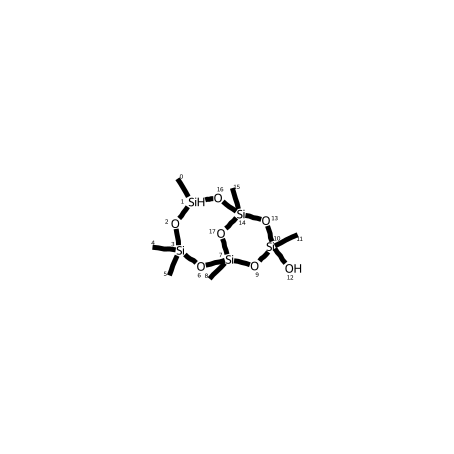 C[SiH]1O[Si](C)(C)O[Si]2(C)O[Si](C)(O)O[Si](C)(O1)O2